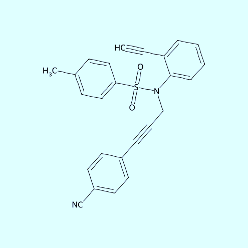 C#Cc1ccccc1N(CC#Cc1ccc(C#N)cc1)S(=O)(=O)c1ccc(C)cc1